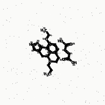 CCCN1CCc2ccc(OCC)c3c2C1Cc1c[nH]nc1-3.O=C(O)C=CC(=O)O